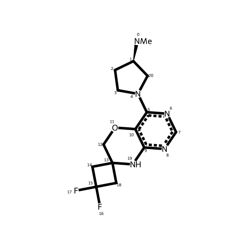 CN[C@@H]1CCN(c2ncnc3c2OCC2(CC(F)(F)C2)N3)C1